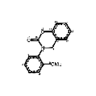 COc1ccccc1N1Cc2ccccc2OC1=O